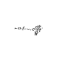 NC(=O)c1ncsc1N(C(=O)c1ccc(CCCCCC(=O)O)cc1)c1ccncc1